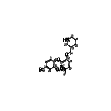 CCc1ccc(Oc2nc(C)ccc2OCC2CCCNC2)c(OC)c1